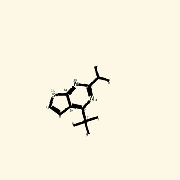 CC(C)c1nc(C(C)(C)C)c2ccsc2n1